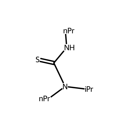 CCCNC(=S)N(CCC)C(C)C